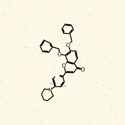 C=C(/C=C\C(=C/C)N1CCCCC1)c1cc(=O)c2ccc(OCc3ccccc3)c(OCc3ccccc3)c2o1